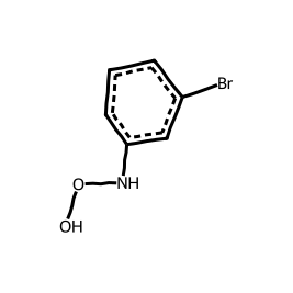 OONc1cccc(Br)c1